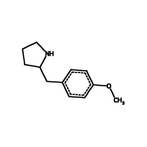 COc1ccc(CC2CCCN2)cc1